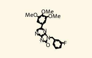 COc1cc(-c2cnc3c(n2)N(Cc2cccc(F)c2)C(=O)[N]3)cc(OC)c1OC